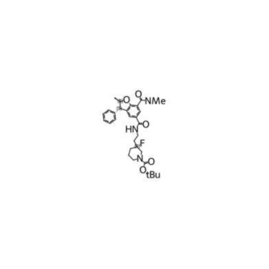 CNC(=O)c1cc(C(=O)NCC[C@]2(F)CCCN(C(=O)OC(C)(C)C)C2)cc2c1O[C@H](C)[C@H]2c1ccccc1